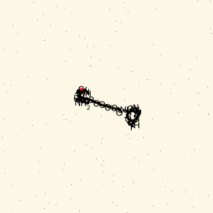 CN[C@H](C)C(=O)N[C@@H](C(=O)N1Cc2cc(OCCOCCOCCOCCOCCC(=O)NCCN3C[C@H](C)Oc4ccc(F)cc4C(C)Nc4ccn5ncc(c5n4)C3=O)ccc2C[C@@H]1C(N)=O)C(C)(C)C